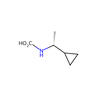 C[C@@H](NC(=O)O)C1CC1